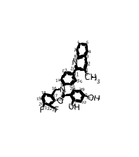 Cc1cc2ccccc2nc1-c1ccc(N(Cc2ccc(F)c(F)c2)C(=O)c2ccc(O)cc2O)cc1